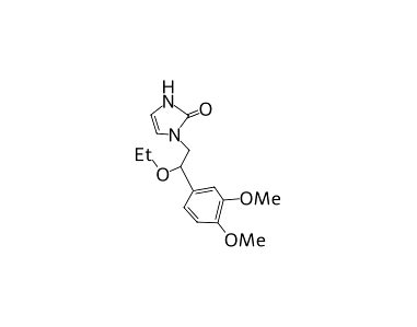 CCOC(Cn1cc[nH]c1=O)c1ccc(OC)c(OC)c1